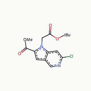 COC(=O)c1cc2cnc(Cl)cc2n1CC(=O)OC(C)(C)C